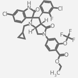 CCOC(=O)c1ccc(N2C[C@H]3[C@@H](C2=O)[C@H](c2cccc(Cl)c2F)[C@]2(C(=O)Nc4cc(Cl)ccc42)N3CC2CC2)cc1OC(F)(F)F